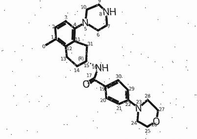 Cc1ccc(N2CCNCC2)c2c1CC[C@@H](NC(=O)c1ccc(N3CCOCC3)cc1)C2